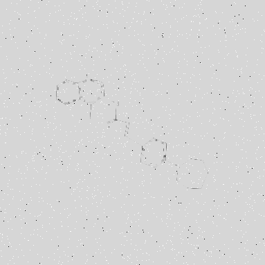 O=C(/C=C/c1ccc(N2CCCCCC2)cc1)Nc1cnc2ccccc2c1Cl